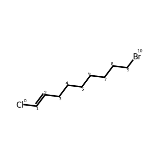 ClC=CCCCCCCCBr